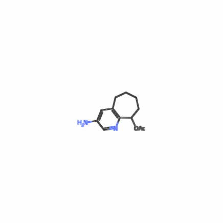 CC(=O)OC1CCCCc2cc(N)cnc21